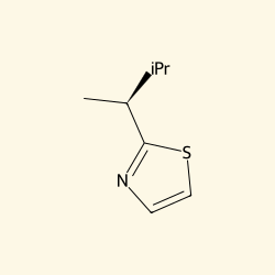 CC(C)[C@H](C)c1nccs1